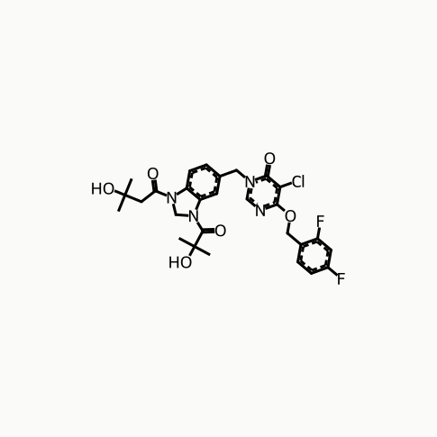 CC(C)(O)CC(=O)N1CN(C(=O)C(C)(C)O)c2cc(Cn3cnc(OCc4ccc(F)cc4F)c(Cl)c3=O)ccc21